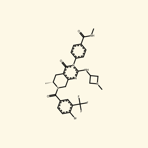 CNC(=O)c1ccc(-n2c(NC3CN(C)C3)nc3c(c2=O)C[C@@H](C)N(C(=O)c2ccc(Br)c(C(F)(F)F)c2)C3)cc1